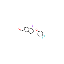 O=Cc1ccc2c(I)c(OC3CCC(F)(F)CC3)ccc2c1